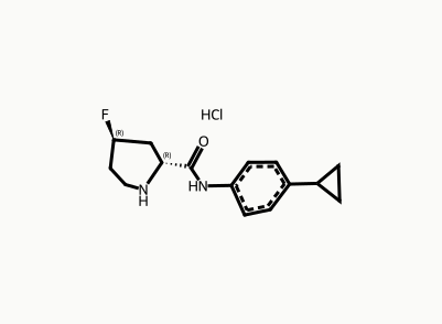 Cl.O=C(Nc1ccc(C2CC2)cc1)[C@H]1C[C@H](F)CCN1